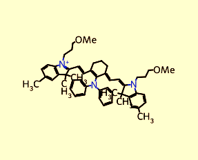 COCCCN1/C(=C/C=C2\CCCC(/C=C/C3=[N+](CCCOC)c4ccc(C)cc4C3(C)C)=C2N(c2ccccc2)c2ccccc2)C(C)(C)c2cc(C)ccc21